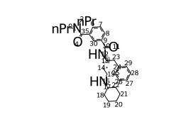 CCCN(CCC)C(=O)c1cccc(C(=O)N[C@@H]([CH]CNC2CCCCC2)Cc2ccccc2)c1